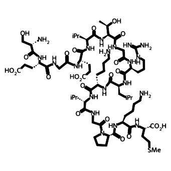 CSCC[C@H](NC(=O)[C@H](CCCCN)NC(=O)[C@@H]1CCCN1C(=O)CNC(=O)[C@@H](NC(=O)[C@H](CCCCN)NC(=O)[C@H](CC(C)C)NC(=O)[C@H](CCCNC(=N)N)NC(=O)CNC(=O)[C@@H](NC(=O)[C@@H](NC(=O)[C@H](CCC(=O)O)NC(=O)CNC(=O)[C@H](CCC(=O)O)NC(=O)[C@@H](N)CO)C(C)C)[C@@H](C)O)C(C)C)C(=O)O